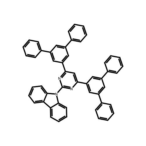 c1ccc(-c2cc(-c3ccccc3)cc(-c3cc(-c4cc(-c5ccccc5)cc(-c5ccccc5)c4)nc(-n4c5ccccc5c5ccccc54)n3)c2)cc1